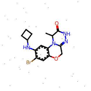 CC1C(=O)NN=C2COc3cc(Br)c(NC4CCC4)cc3N21